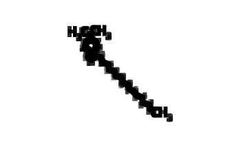 CCCCCCCCCCCCCCCCCc1ccc2ccc(C(C)C)ccc1-2